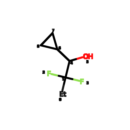 CCC(F)(F)C(O)C1CC1